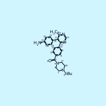 CCCCN1CCN(C(=O)c2ccc(-c3ncnc(C)c3-c3ccc(N)nc3)cc2)CC1